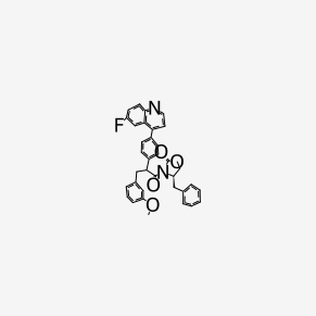 COc1cccc(CC(C(=O)N2C(=O)OC[C@H]2Cc2ccccc2)c2ccc(-c3ccnc4ccc(F)cc34)cc2)c1